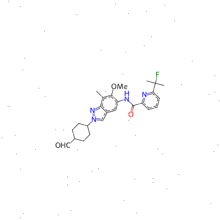 COc1c(NC(=O)c2cccc(C(C)(C)F)n2)cc2cn(C3CCC(C=O)CC3)nc2c1C